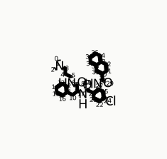 CN(C)CCCNC(=O)C(Cc1ccccc1)NC(=O)c1ccc(Cl)cc1NC(=O)c1ccc2ccccc2c1